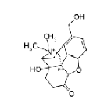 C[N+]1(C)CC[C@@]23c4c5ccc(CO)c4CC1C2(O)CCC(=O)C3O5